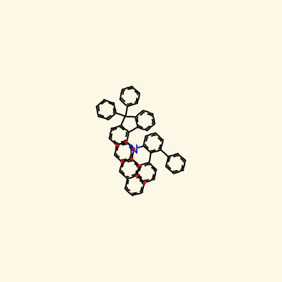 c1ccc(-c2ccccc2-c2c(-c3ccccc3)cccc2N(c2ccc3ccccc3c2)c2cccc3c2-c2ccccc2C3(c2ccccc2)c2ccccc2)cc1